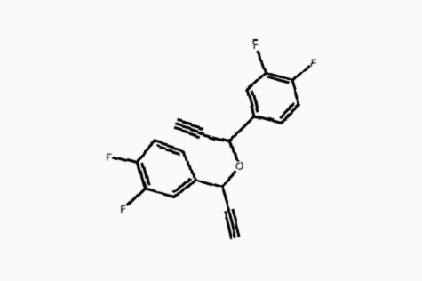 C#CC(OC(C#C)c1ccc(F)c(F)c1)c1ccc(F)c(F)c1